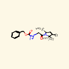 CCC1CC(C(=O)O)N(C(=O)CNC(=O)OCc2ccccc2)C1(CC)C(=O)O